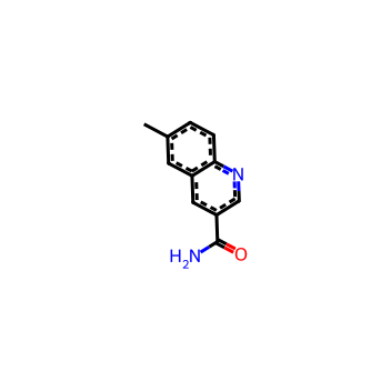 Cc1ccc2ncc(C(N)=O)cc2c1